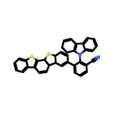 N#Cc1cccc(C2=CC3C(C=C2)SC2c4sc5ccccc5c4C=CC23)c1-n1c2c(c3ccccc31)C=CCC2